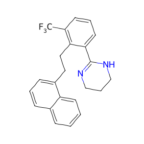 FC(F)(F)c1cccc(C2=NCCCN2)c1CCc1cccc2ccccc12